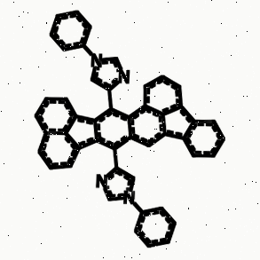 c1ccc(-n2cnc(-c3c4cc5c6ccccc6c6cccc(c4c(-c4cn(-c7ccccc7)cn4)c4c7cccc8cccc(c34)c87)c65)c2)cc1